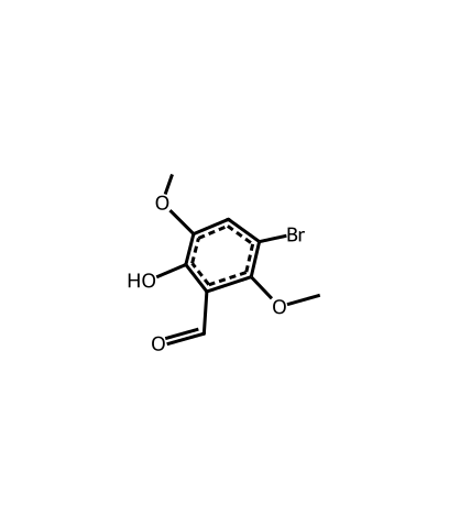 COc1cc(Br)c(OC)c(C=O)c1O